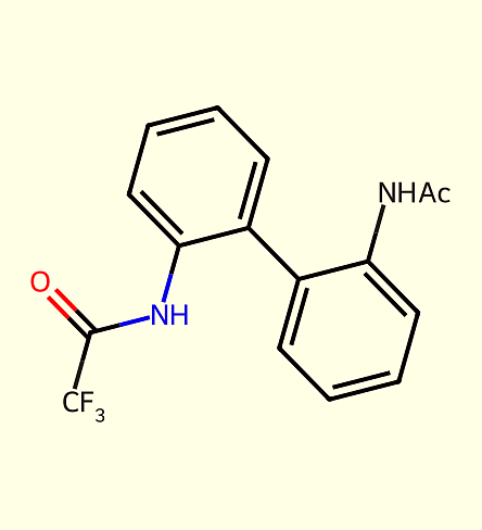 CC(=O)Nc1ccccc1-c1ccccc1NC(=O)C(F)(F)F